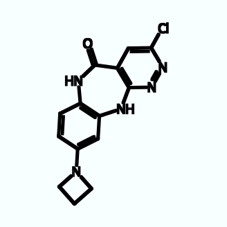 O=C1Nc2ccc(N3CCC3)cc2Nc2nnc(Cl)cc21